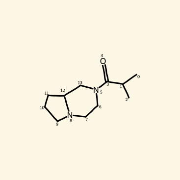 CC(C)C(=O)N1CCN2CCCC2C1